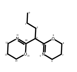 CCCC(C1=NCCCO1)C1=NCCCO1